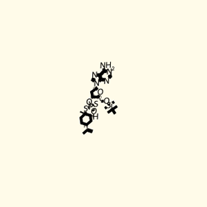 C=C(C)[C@@H]1CC[C@]2(C)S[P@](=S)(O[C@H]3C[C@H](n4cnc5c(N)ncnc54)O[C@@H]3CO[Si](C)(C)C(C)(C)C)O[C@H]2C1